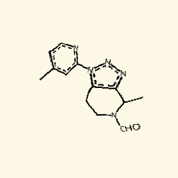 Cc1ccnc(-n2nnc3c2CCN(C=O)C3C)c1